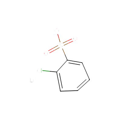 O=S(=O)([O-])c1ccccc1Cl.[Li+]